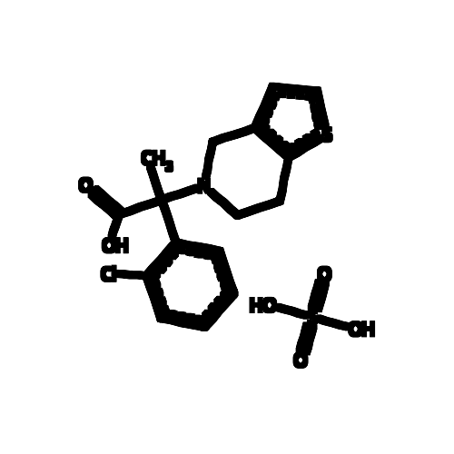 CC(C(=O)O)(c1ccccc1Cl)N1CCc2sccc2C1.O=S(=O)(O)O